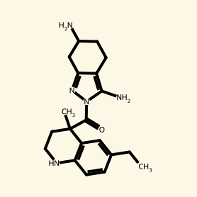 CCc1ccc2c(c1)C(C)(C(=O)n1nc3c(c1N)CCC(N)C3)CCN2